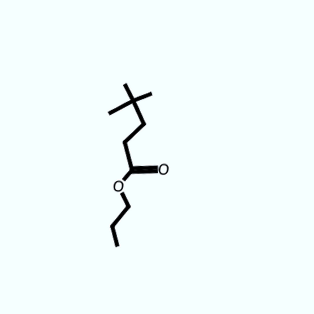 CCCOC(=O)CCC(C)(C)C